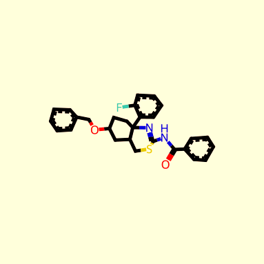 O=C(NC1=NC2(c3ccccc3F)CCC(OCc3ccccc3)CC2CS1)c1ccccc1